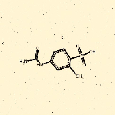 Cc1cc(NC(N)=O)ccc1S(=O)(=O)O.[K]